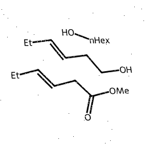 CC/C=C/CC(=O)OC.CC/C=C/CCO.CCCCCCO